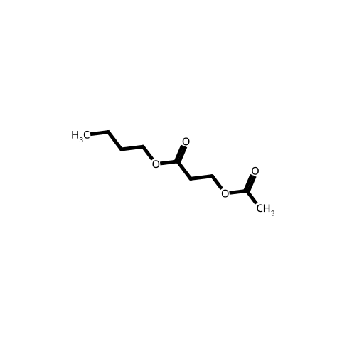 CCCCOC(=O)CCOC(C)=O